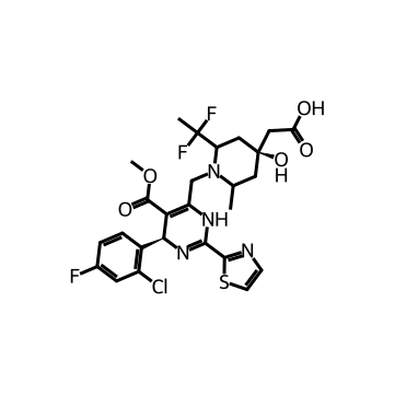 COC(=O)C1=C(CN2C(C)C[C@@](O)(CC(=O)O)CC2C(C)(F)F)NC(c2nccs2)=N[C@H]1c1ccc(F)cc1Cl